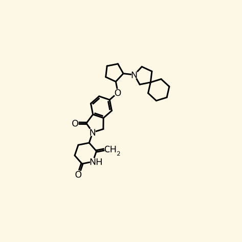 C=C1NC(=O)CCC1N1Cc2cc(OC3CCCC3N3CCC4(CCCCC4)C3)ccc2C1=O